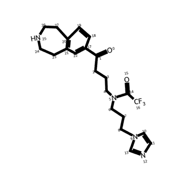 O=C(CCCN(CCCn1ccnc1)C(=O)C(F)(F)F)c1ccc2c(c1)CCNCC2